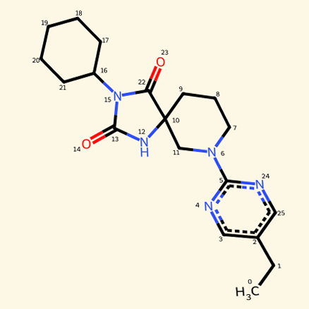 CCc1cnc(N2CCCC3(C2)NC(=O)N(C2CCCCC2)C3=O)nc1